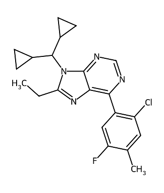 CCc1nc2c(-c3cc(F)c(C)cc3Cl)ncnc2n1C(C1CC1)C1CC1